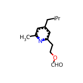 Cc1cc(CC(C)C)cc(CCOC=O)n1